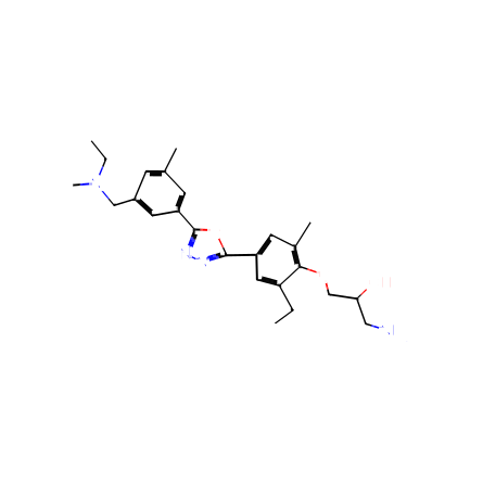 CCc1cc(-c2nnc(-c3cc(C)cc(CN(C)CC)c3)o2)cc(C)c1OCC(O)CN